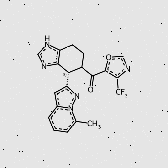 Cc1cccc2cc([C@@H]3c4nc[nH]c4CCC3C(=O)c3ocnc3C(F)(F)F)nn12